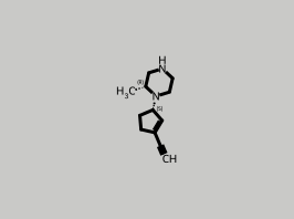 C#CC1=C[C@@H](N2CCNC[C@H]2C)CC1